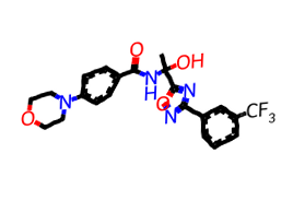 CC(O)(NC(=O)c1ccc(N2CCOCC2)cc1)c1nc(-c2cccc(C(F)(F)F)c2)no1